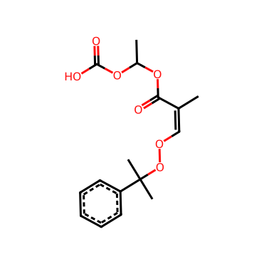 CC(=COOC(C)(C)c1ccccc1)C(=O)OC(C)OC(=O)O